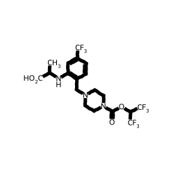 CC(Nc1cc(C(F)(F)F)ccc1CN1CCN(C(=O)OC(C(F)(F)F)C(F)(F)F)CC1)C(=O)O